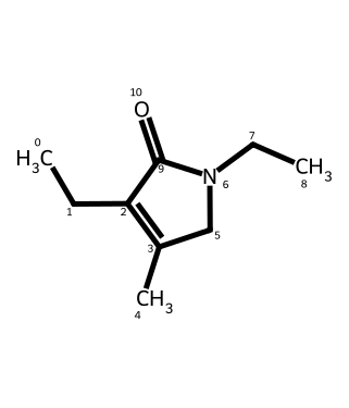 CCC1=C(C)CN(CC)C1=O